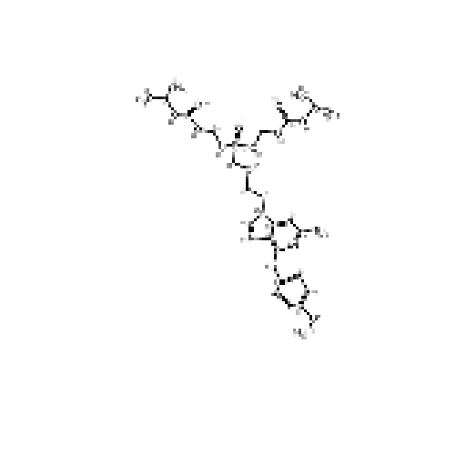 COc1ccc(Sc2nc(N)nc3c2ncn3CCOCP(=O)(OCOC(=O)OC(C)C)OCOC(=O)OC(C)C)cc1